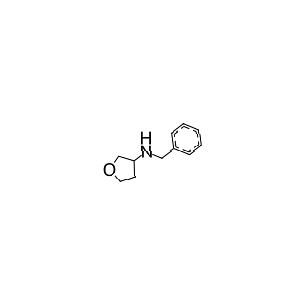 c1ccc(CNC2CCOC2)cc1